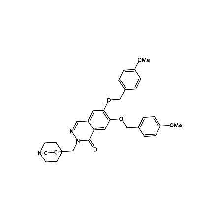 COc1ccc(COc2cc3cnn(CC45CCN(CC4)CC5)c(=O)c3cc2OCc2ccc(OC)cc2)cc1